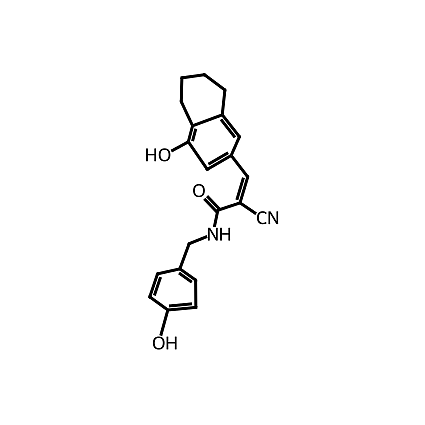 N#CC(=Cc1cc(O)c2c(c1)CCCC2)C(=O)NCc1ccc(O)cc1